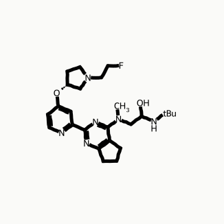 CN(CC(O)NC(C)(C)C)c1nc(-c2cc(O[C@@H]3CCN(CCF)C3)ccn2)nc2c1CCC2